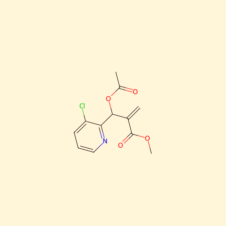 C=C(C(=O)OC)C(OC(C)=O)c1ncccc1Cl